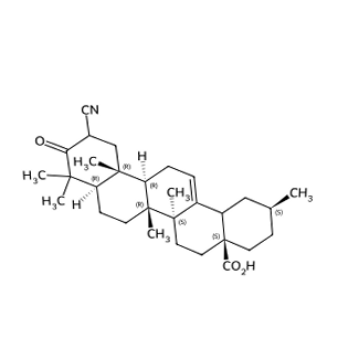 C[C@H]1CC[C@]2(C(=O)O)CC[C@]3(C)C(=CC[C@@H]4[C@@]5(C)CC(C#N)C(=O)C(C)(C)[C@@H]5CC[C@]43C)C2C1